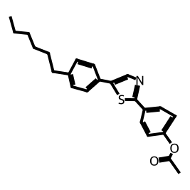 CCCCCCc1ccc(-c2cnc(-c3ccc(OC(C)=O)cc3)s2)cc1